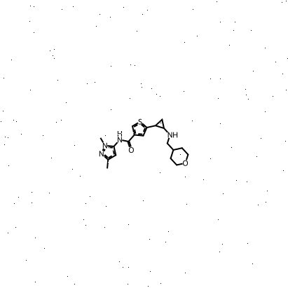 Cc1cc(NC(=O)c2csc(C3CC3NCC3CCOCC3)c2)n(C)n1